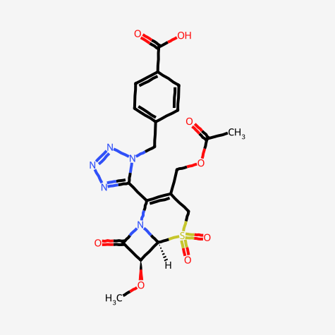 CO[C@H]1C(=O)N2C(c3nnnn3Cc3ccc(C(=O)O)cc3)=C(COC(C)=O)CS(=O)(=O)[C@@H]12